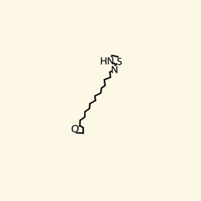 C(CCCCCCN=C1NCCS1)CCCCCCC1CCCO1